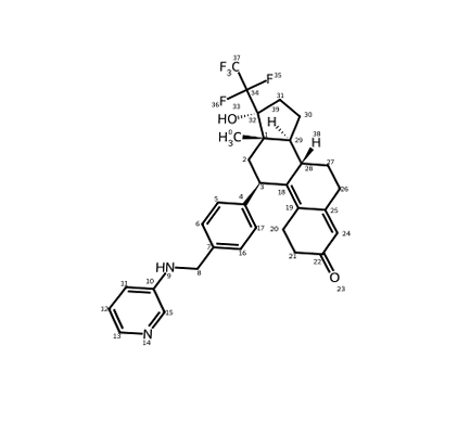 C[C@]12C[C@H](c3ccc(CNc4cccnc4)cc3)C3=C4CCC(=O)C=C4CC[C@H]3[C@@H]1CC[C@]2(O)C(F)(F)C(F)(F)F